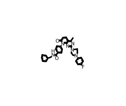 Cc1nc(N2CCN(c3ccc(F)cc3)CC2)nc2c1ccc(=O)n2-c1ccc(C(=O)NCc2ccccc2)cc1